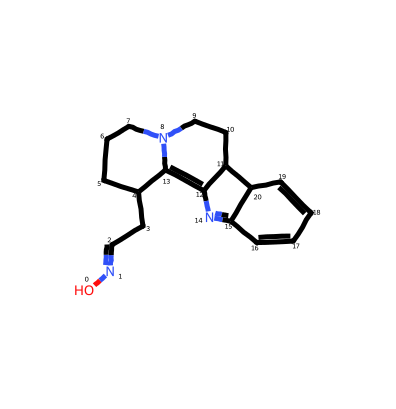 ON=CCC1CCCN2CCC3C(=C12)N=C1C=CC=CC13